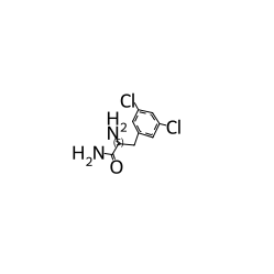 NC(=O)[C@@H](N)Cc1cc(Cl)cc(Cl)c1